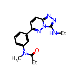 CCNc1nnc2ccc(-c3cccc(N(C)C(=O)CC)c3)nn12